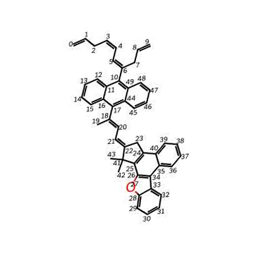 C=CC/C=C\C=C(/CC=C)c1c2ccccc2c(/C(C)=C/C=C2\Cc3c(c4oc5ccccc5c4c4ccccc34)C2(C)C)c2ccccc12